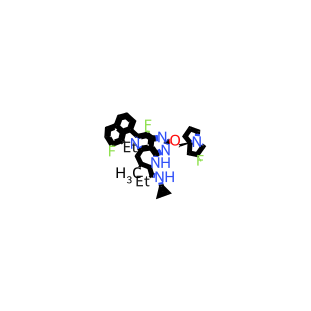 CCc1c(F)ccc2cccc(-c3nc4c5c(nc(OC[C@@]67CCCN6C[C@H](F)C7)nc5c3F)N[C@H]([C@H](CC)NC3CC3)[C@@H](C)C4)c12